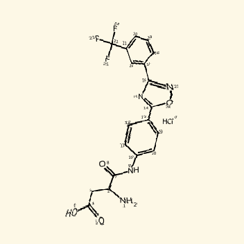 Cl.NC(CC(=O)O)C(=O)Nc1ccc(-c2nc(-c3cccc(C(F)(F)F)c3)no2)cc1